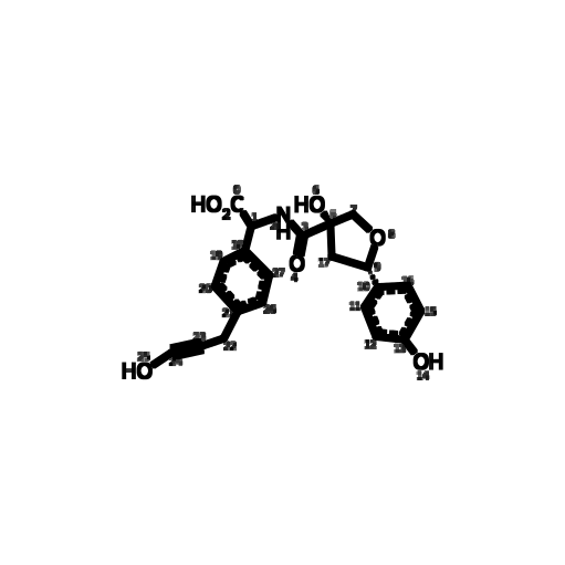 O=C(O)C(NC(=O)[C@]1(O)CO[C@H](c2ccc(O)cc2)C1)c1ccc(CC#CO)cc1